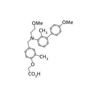 COCCN(Cc1ccc(OCC(=O)O)c(C)c1)c1cccc(-c2ccc(OC)cc2)c1C